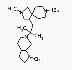 CN1CC(CC(C)(C)N2CCC3CCN(C)C3C2)C2(CCN(C(C)(C)C)CC2)C1